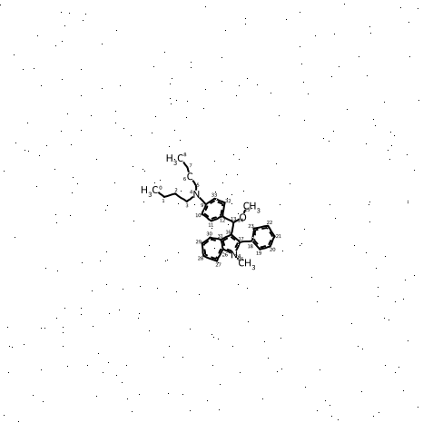 CCCCN(CCCC)c1ccc(C(OC)c2c(-c3ccccc3)n(C)c3ccccc23)cc1